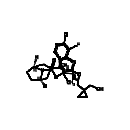 CC(C)(C)OC(=O)N1[C@@H]2CC[C@H]1CN(c1nc(OCC3(CO)CC3)nc3c(F)c(Cl)ncc13)C2